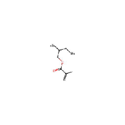 C=C(C)C(=O)OCC(CCC)CC(C)CC